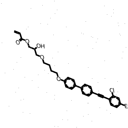 C=CC(=O)OCC(O)COCCCCOc1ccc(-c2ccc(C#Cc3ccc(CC)cc3Cl)cc2)cc1